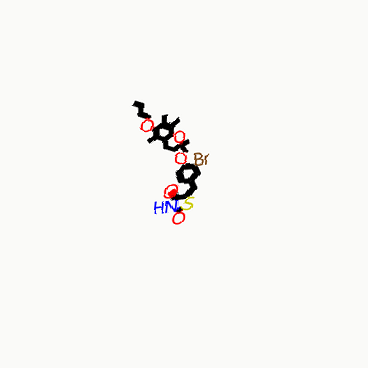 CCCCOc1c(C)c(C)c2c(c1C)CCC(C)(COc1ccc(C=C3SC(=O)NC3=O)cc1Br)O2